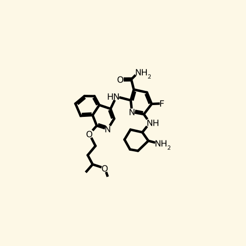 COC(C)CCOc1ncc(Nc2nc(NC3CCCCC3N)c(F)cc2C(N)=O)c2ccccc12